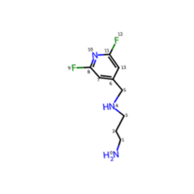 NCCCNCc1cc(F)nc(F)c1